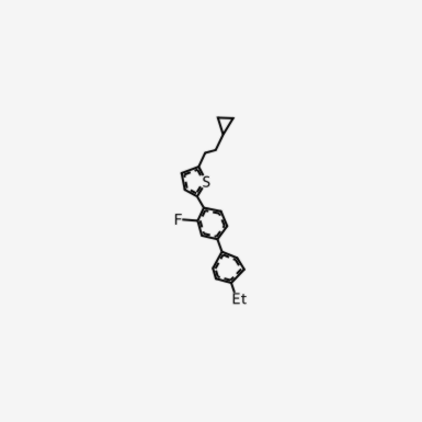 CCc1ccc(-c2ccc(-c3ccc(CCC4CC4)s3)c(F)c2)cc1